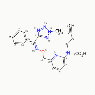 C#CCCN(C(=O)O)c1cccc(CON=C(c2ccccc2)c2nnn(C)n2)n1